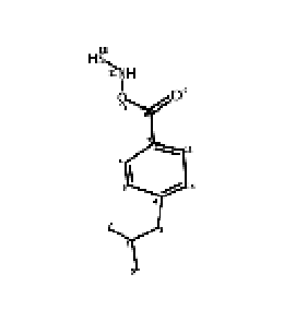 CC(C)Cc1ccc(C(=O)ONS)cc1